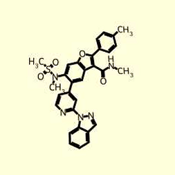 CNC(=O)c1c(-c2ccc(C)cc2)oc2cc(N(C)S(C)(=O)=O)c(-c3ccnc(-n4ncc5ccccc54)c3)cc12